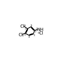 ClNc1ccc(Cl)c(Cl)c1